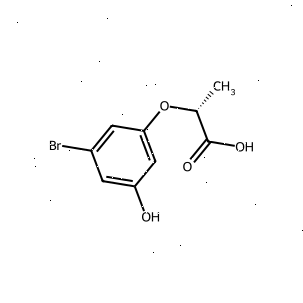 C[C@@H](Oc1cc(O)cc(Br)c1)C(=O)O